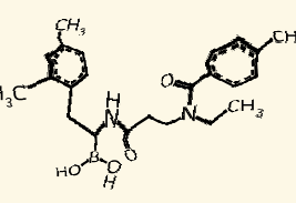 CCN(CCC(=O)NC(Cc1ccc(C)cc1C)B(O)O)C(=O)c1ccc(C)cc1